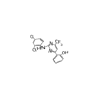 Oc1ccccc1-c1cc(C(F)(F)F)nc(Nc2ccc(Cl)cc2Cl)n1